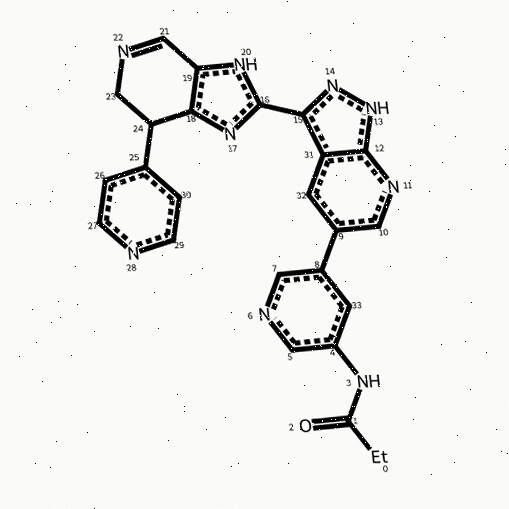 CCC(=O)Nc1cncc(-c2cnc3[nH]nc(-c4nc5c([nH]4)C=NCC5c4ccncc4)c3c2)c1